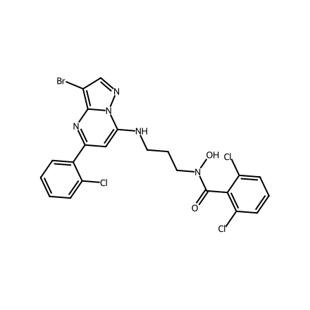 O=C(c1c(Cl)cccc1Cl)N(O)CCCNc1cc(-c2ccccc2Cl)nc2c(Br)cnn12